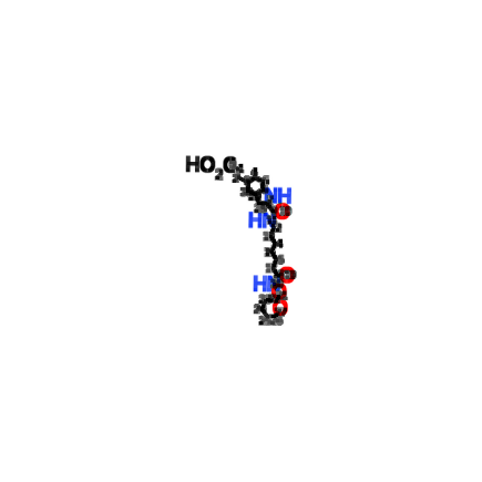 O=C(O)CCc1ccc2[nH]c(C(=O)NCCCCCCC(=O)NOC3CCCCO3)cc2c1